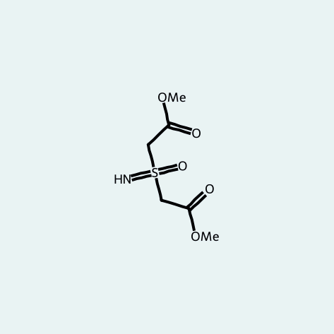 COC(=O)CS(=N)(=O)CC(=O)OC